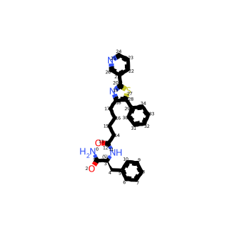 NC(=O)[C@H](Cc1ccccc1)NC(=O)CCCCc1nc(-c2cccnc2)sc1-c1ccccc1